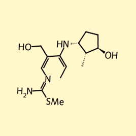 C\C=C(N[C@@H]1CC[C@@H](O)[C@@H]1C)/C(=C\N=C(/N)SC)CO